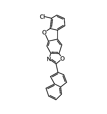 Clc1cccc2c1oc1cc3nc(-c4ccc5ccccc5c4)oc3cc12